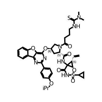 C=C[C@@H]1CC1(NC(=O)[C@@H]1C[C@@H](Oc2nc(-c3ccc(OC(C)C)cc3)nc3c2oc2ccccc23)CN1C(=O)CCCNC(=S)N(C)C)C(=O)NS(=O)(=O)C1CC1